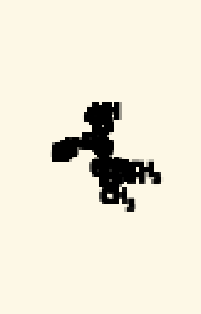 Cc1ccc2c(c1)NC(C)CCN2C(=O)c1ccc(-c2ccc3[nH]ccc3c2)c(OCCN2CCOCC2)c1